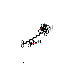 O=C(O)CCC(CC(CCCCCCC(C(=O)O)(C(=O)O)C(C(=O)O)(C(=O)O)C(=O)O)C(=O)O)C(=O)O